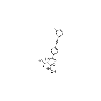 Cc1cccc(C#Cc2ccc(C(=O)N[C@H](C(=O)NO)[C@@H](C)O)cc2)c1